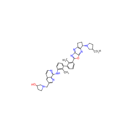 Cc1c(Nc2nccc3cc(CN4CC[C@@H](O)C4)cnc23)cccc1-c1cccc(-c2nc3nc4c(nc3o2)[C@H](N2CC[C@@H](C(=O)O)C2)CC4)c1C